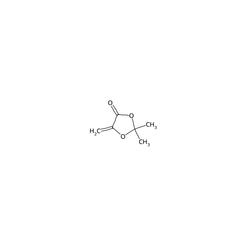 C=C1OC(C)(C)OC1=O